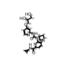 O=C(NC1CC1)c1ccc2c(n1)N(C(=O)Nc1cc(OCC(O)CO)ccn1)C1CCN2C1